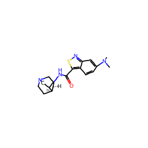 CN(C)c1ccc2c(C(=O)N[C@@H]3CN4CCC3CC4)snc2c1